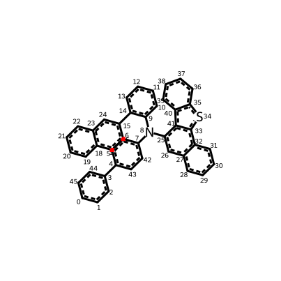 c1ccc(-c2ccc(N(c3ccccc3-c3ccc4ccccc4c3)c3cc4ccccc4c4sc5ccccc5c34)cc2)cc1